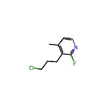 Cc1ccnc(F)c1CCCCl